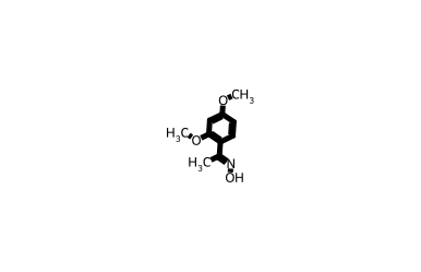 COc1ccc(C(C)=NO)c(OC)c1